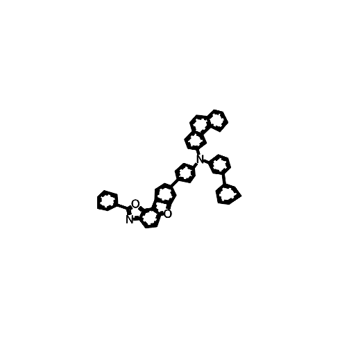 c1ccc(-c2cccc(N(c3ccc(-c4ccc5c(c4)oc4ccc6nc(-c7ccccc7)oc6c45)cc3)c3ccc4ccc5ccccc5c4c3)c2)cc1